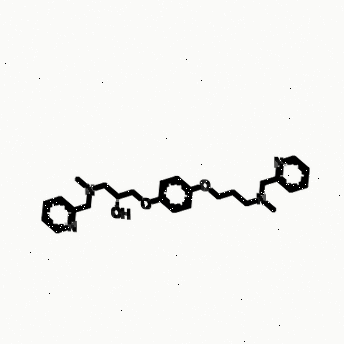 CN(CCCOc1ccc(OC[C@H](O)CN(C)Cc2ccccn2)cc1)Cc1ccccn1